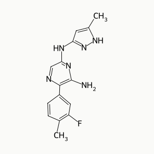 Cc1cc(Nc2cnc(-c3ccc(C)c(F)c3)c(N)n2)n[nH]1